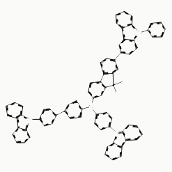 CC1(C)c2cc(-c3ccc4c(c3)c3ccccc3n4-c3ccccc3)ccc2-c2ccc(N(c3ccc(-c4ccc(-n5c6ccccc6c6ccccc65)cc4)cc3)c3ccc(-n4c5ccccc5c5ccccc54)cc3)cc21